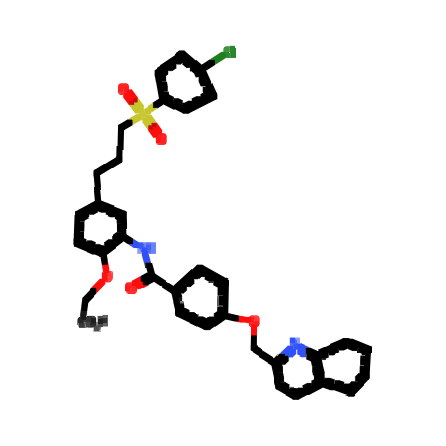 O=C(O)COc1ccc(CCCS(=O)(=O)c2ccc(Cl)cc2)cc1NC(=O)c1ccc(OCc2ccc3ccccc3n2)cc1